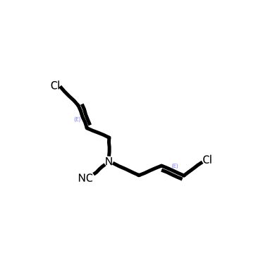 N#CN(C/C=C/Cl)C/C=C/Cl